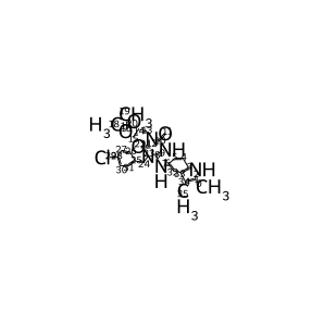 Cc1[nH]c2ccc(NC3NC(=O)N(C[C@H]4COC(C)(C)O4)C(=O)N3Cc3ccc(Cl)cc3)cc2c1C